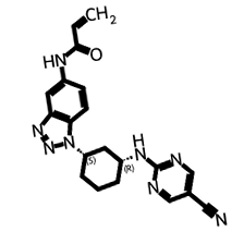 C=CC(=O)Nc1ccc2c(c1)nnn2[C@H]1CCC[C@@H](Nc2ncc(C#N)cn2)C1